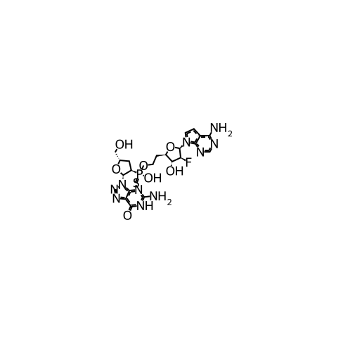 Nc1nc2c(nnn2[C@@H]2O[C@H](CO)C[C@H]2P(O)(=S)OCC[C@H]2O[C@@H](n3ccc4c(N)ncnc43)[C@@H](F)[C@@H]2O)c(=O)[nH]1